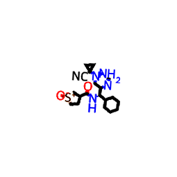 C=NC(CN(N)C1(C#N)CC1)[C@@H](NC(=O)C1CC[S+]([O-])C1)C1CCCCC1